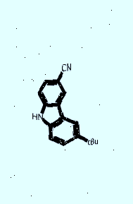 CC(C)(C)c1ccc2[nH]c3ccc(C#N)cc3c2c1